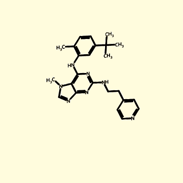 Cc1ccc(C(C)(C)C)cc1Nc1nc(NCCc2ccncc2)nc2ncn(C)c12